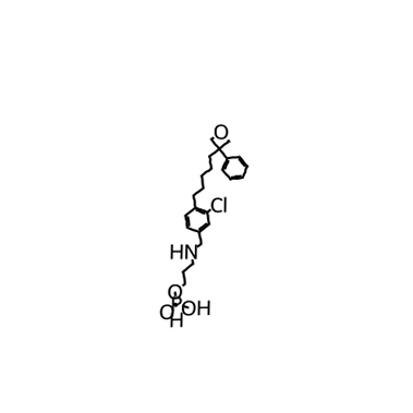 O=[PH](O)OCCCNCc1ccc(CCCCCC2(c3ccccc3)COC2)c(Cl)c1